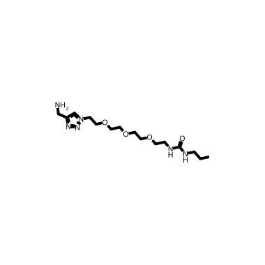 CCCNC(=O)NCCOCCOCCOCCn1cc(CN)nn1